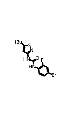 CC(C)(C)c1cc(NC(=O)Nc2ccc(Br)cc2F)ns1